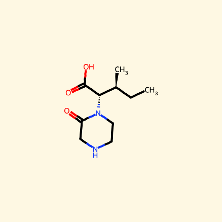 CC[C@H](C)[C@@H](C(=O)O)N1CCNCC1=O